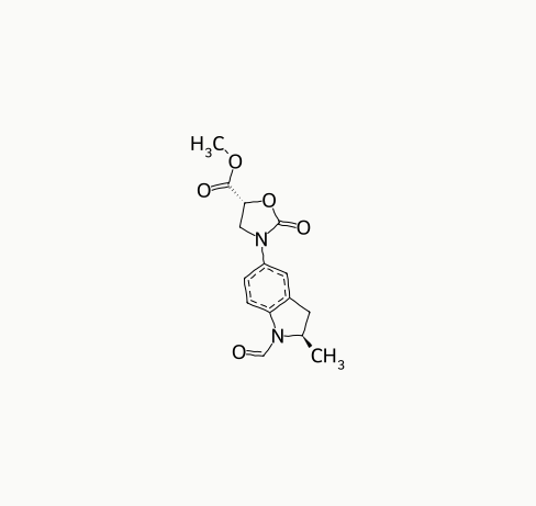 COC(=O)[C@H]1CN(c2ccc3c(c2)C[C@@H](C)N3C=O)C(=O)O1